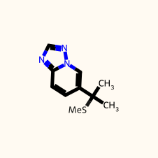 CSC(C)(C)c1ccc2ncnn2c1